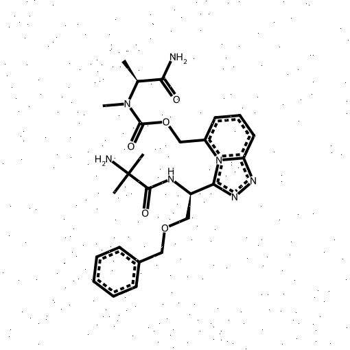 C[C@@H](C(N)=O)N(C)C(=O)OCc1cccc2nnc([C@@H](COCc3ccccc3)NC(=O)C(C)(C)N)n12